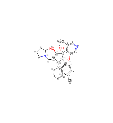 COc1cncc2c1[C@]1(O)[C@H](O)[C@H](CN3CCCC3)[C@@H](c3ccccc3)[C@]1(c1ccc(C#N)cc1)O2